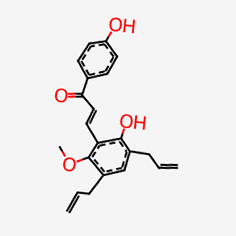 C=CCc1cc(CC=C)c(OC)c(/C=C/C(=O)c2ccc(O)cc2)c1O